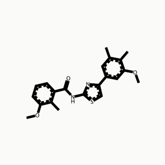 COc1cc(-c2csc(NC(=O)c3cccc(OC)c3C)n2)cc(C)c1C